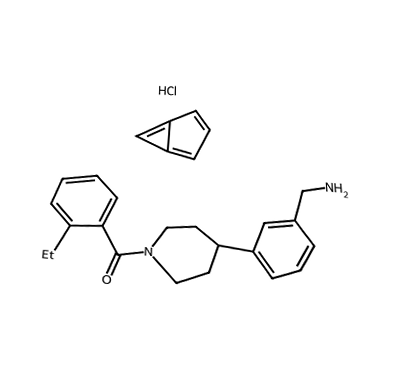 CCc1ccccc1C(=O)N1CCC(c2cccc(CN)c2)CC1.Cl.c1cc2cc-2c1